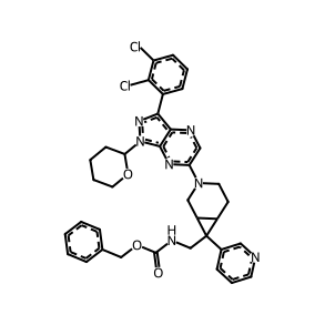 O=C(NCC1(c2cccnc2)C2CCN(c3cnc4c(-c5cccc(Cl)c5Cl)nn(C5CCCCO5)c4n3)CC21)OCc1ccccc1